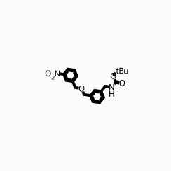 CC(C)(C)OC(=O)NCc1cccc(COCc2cccc([N+](=O)[O-])c2)c1